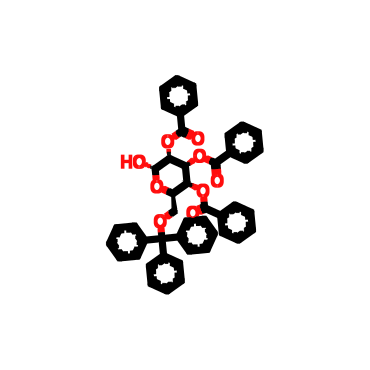 O=C(O[C@@H]1[C@@H](OC(=O)c2ccccc2)[C@@H](O)O[C@H](COC(c2ccccc2)(c2ccccc2)c2ccccc2)[C@@H]1OC(=O)c1ccccc1)c1ccccc1